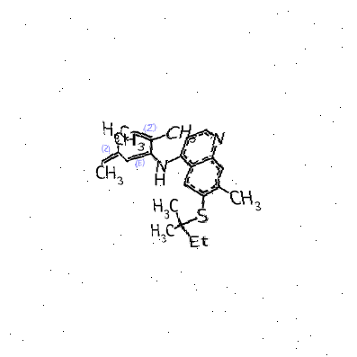 C\C=C(C)/C=C(Nc1ccnc2cc(C)c(SC(C)(C)CC)cc12)\C(C)=C/C